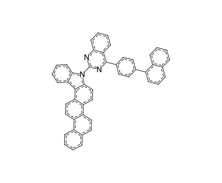 c1ccc2c(-c3ccc(-c4nc(-n5c6ccccc6c6c7ccc8c9ccccc9ccc8c7ccc65)nc5ccccc45)cc3)cccc2c1